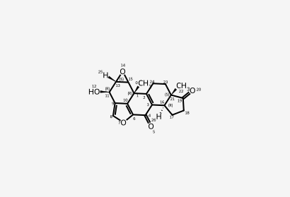 C[C@@]12C3=C(C(=O)c4occ(c41)[C@@H](O)[C@@H]1OC12)[C@@H]1CCC(=O)[C@@]1(C)CC3